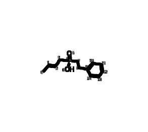 CC=CCP(=O)(O)CCc1ccccc1